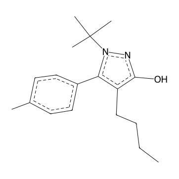 CCCCc1c(O)nn(C(C)(C)C)c1-c1ccc(C)cc1